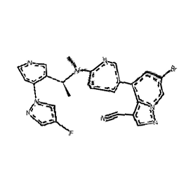 C[C@@H](c1cnccc1-n1cc(F)cn1)N(C)c1ccc(-c2cc(Br)cn3ncc(C#N)c23)cn1